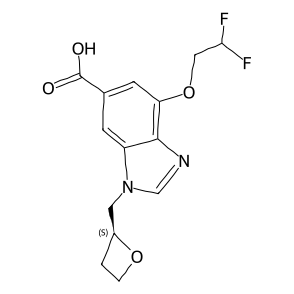 O=C(O)c1cc(OCC(F)F)c2ncn(C[C@@H]3CCO3)c2c1